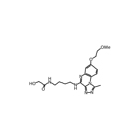 COCCOc1ccc2c(c1)nc(NCCCCNC(=O)CO)c1nnc(C)n12